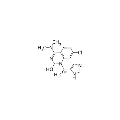 C[C@H](c1cnc[nH]1)N1c2cc(Cl)ccc2C(N(C)C)=NC1O